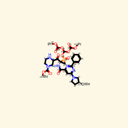 CCCCOC(=O)N1CCNC(C(=O)[C@]2(NC(=O)c3cc(N4CC[C@H](OC)C4)nc(-c4ccccc4)n3)CP2(=O)OC(OC(=O)OC(C)C)OC(=O)OC(C)C)C1